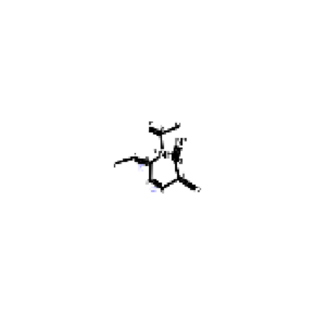 C=C(C#N)/C=C\C(=C/C)NC(=C)C